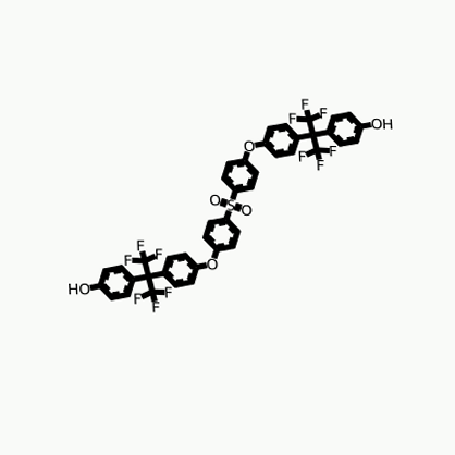 O=S(=O)(c1ccc(Oc2ccc(C(c3ccc(O)cc3)(C(F)(F)F)C(F)(F)F)cc2)cc1)c1ccc(Oc2ccc(C(c3ccc(O)cc3)(C(F)(F)F)C(F)(F)F)cc2)cc1